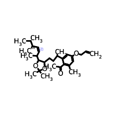 C=CCOc1cc(C)c(C(C)=O)c(C(C)CCC2OC(C)(C)OC2C(C)/C=C\[C@@H](C)C(C)C)c1